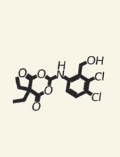 CCC1(CC)C(=O)OC(Nc2ccc(Cl)c(Cl)c2CO)OC1=O